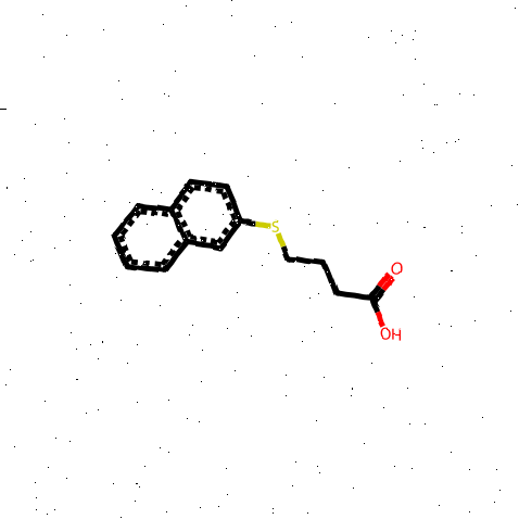 O=C(O)CCCSc1ccc2ccccc2c1